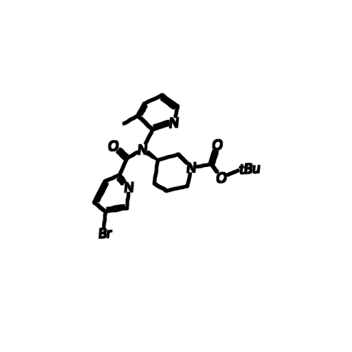 Cc1cccnc1N(C(=O)c1ccc(Br)cn1)[C@@H]1CCCN(C(=O)OC(C)(C)C)C1